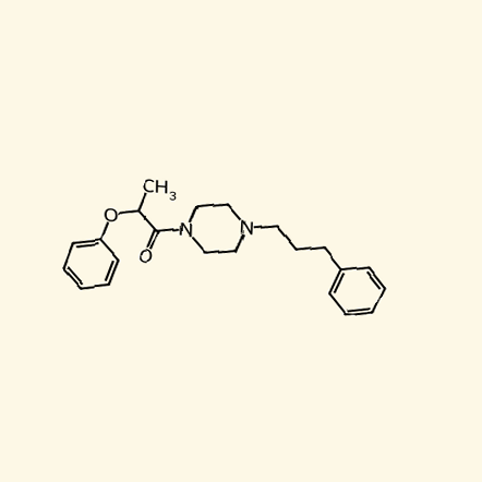 CC(Oc1ccccc1)C(=O)N1CCN(CCCc2ccccc2)CC1